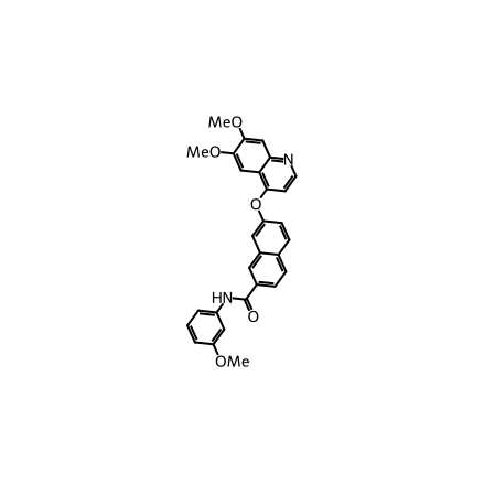 COc1cccc(NC(=O)c2ccc3ccc(Oc4ccnc5cc(OC)c(OC)cc45)cc3c2)c1